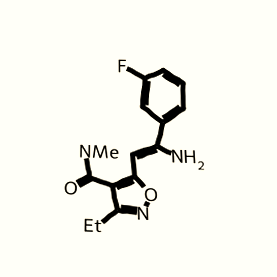 CCc1noc(C=C(N)c2cccc(F)c2)c1C(=O)NC